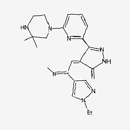 C=c1[nH]nc(-c2cccc(N3CCNC(C)(C)C3)n2)/c1=C/C(=N\C)c1cnn(CC)c1